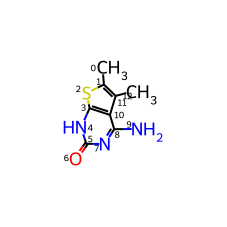 Cc1sc2[nH]c(=O)nc(N)c2c1C